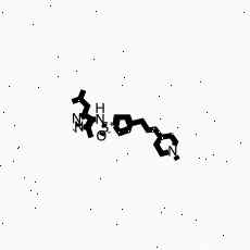 Cc1c(N[S+]([O-])c2ccc(CCCC3CCN(C)CC3)cc2)c(CC(C)C)nn1C